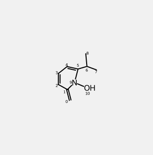 C=C1C=CC=C(C(C)C)N1O